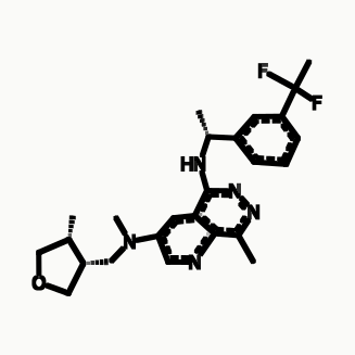 Cc1nnc(N[C@H](C)c2cccc(C(C)(F)F)c2)c2cc(N(C)C[C@@H]3COC[C@@H]3C)cnc12